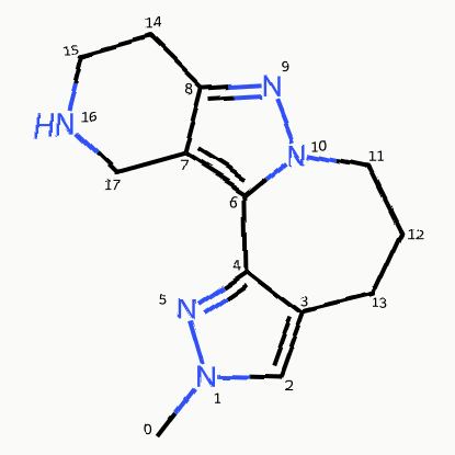 Cn1cc2c(n1)-c1c3c(nn1CCC2)CCNC3